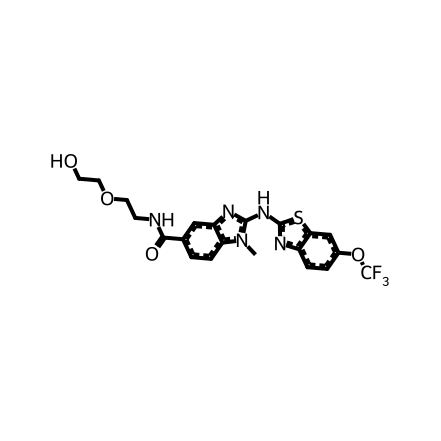 Cn1c(Nc2nc3ccc(OC(F)(F)F)cc3s2)nc2cc(C(=O)NCCOCCO)ccc21